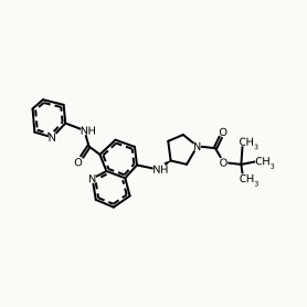 CC(C)(C)OC(=O)N1CC[C@H](Nc2ccc(C(=O)Nc3ccccn3)c3ncccc23)C1